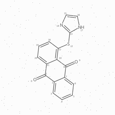 O=C1c2ccccc2C(=O)c2c(Sc3ncc[nH]3)cccc21